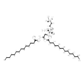 CCCCCCCCCCCCCC(=O)OC[C@H](COP(=O)(O)OCC[N+](C)(C)C)OC(=O)CCCCCCCCCCCCC